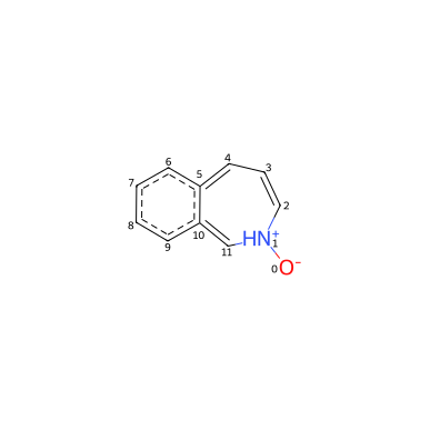 [O-][NH+]1C=CC=c2ccccc2=C1